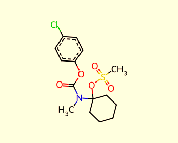 CN(C(=O)Oc1ccc(Cl)cc1)C1(OS(C)(=O)=O)CCCCC1